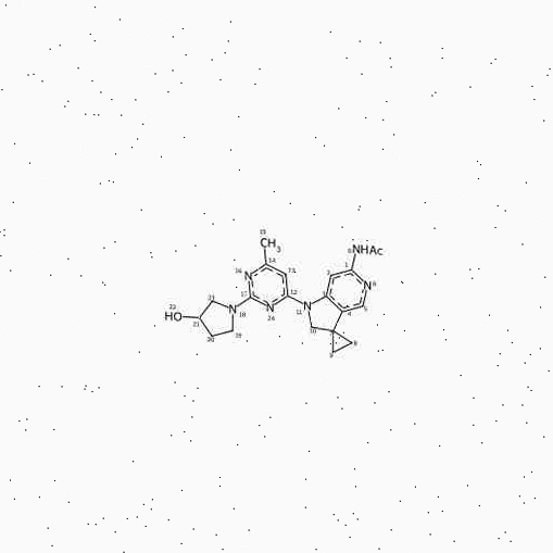 CC(=O)Nc1cc2c(cn1)C1(CC1)CN2c1cc(C)nc(N2CCC(O)C2)n1